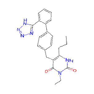 CCCc1[nH]c(=O)n(CC)c(=O)c1Cc1ccc(-c2ccccc2-c2nnn[nH]2)cc1